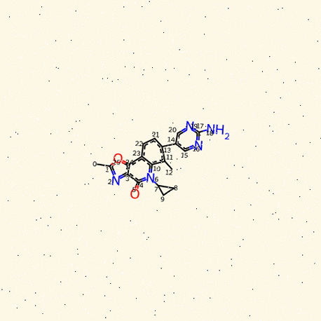 Cc1nc2c(=O)n(C3CC3)c3c(C)c(-c4cnc(N)nc4)ccc3c2o1